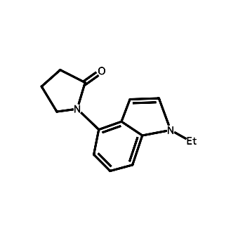 CCn1ccc2c(N3CCCC3=O)cccc21